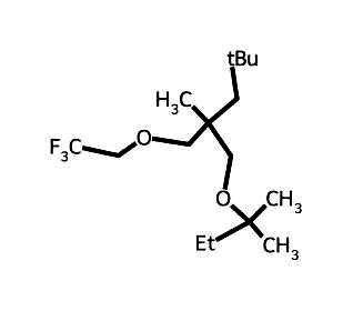 CCC(C)(C)OCC(C)(COCC(F)(F)F)CC(C)(C)C